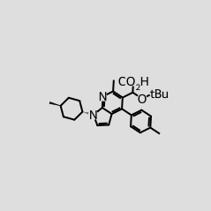 Cc1ccc(-c2c(C(OC(C)(C)C)C(=O)O)c(C)nc3c2ccn3[C@H]2CC[C@H](C)CC2)cc1